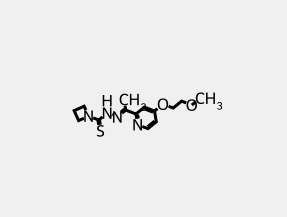 COCCOc1ccnc(C(C)=NNC(=S)N2CCC2)c1